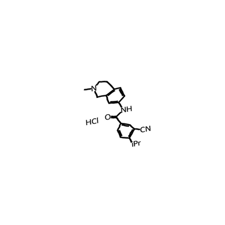 CC(C)c1ccc(C(=O)Nc2ccc3c(c2)CN(C)CC3)cc1C#N.Cl